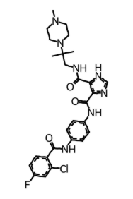 CN1CCN(C(C)(C)CNC(=O)c2[nH]cnc2C(=O)Nc2ccc(NC(=O)c3ccc(F)cc3Cl)cc2)CC1